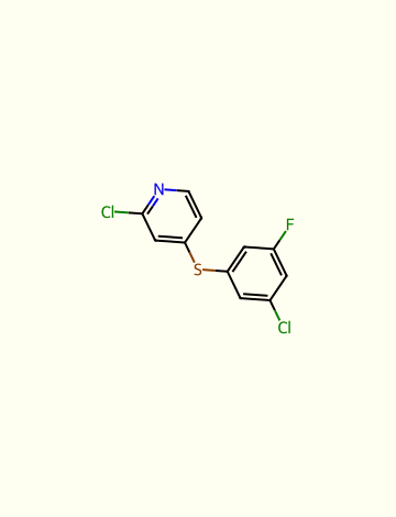 Fc1cc(Cl)cc(Sc2ccnc(Cl)c2)c1